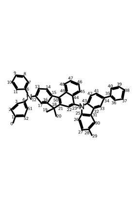 Cc1ccc(N(c2ccccc2)c2ccc3c(c2)C(C)(C)c2cc(-n4c5ccc(C)cc5c5cc(-c6ccccc6)ccc54)c4ccccc4c2-3)cc1